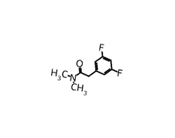 CN(C)C(=O)Cc1cc(F)cc(F)c1